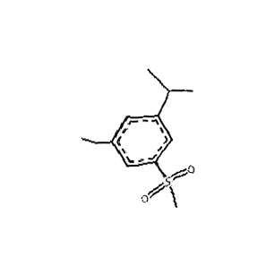 Cc1cc(C(C)C)cc(S(C)(=O)=O)c1